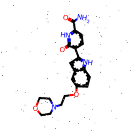 NC(=O)c1[c]cc(-c2cc3cc(OCCN4CCOCC4)ccc3[nH]2)c(=O)[nH]1